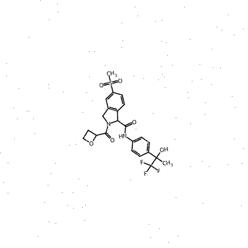 CC(O)(c1ccc(NC(=O)C2c3ccc(S(C)(=O)=O)cc3CN2C(=O)C2CCO2)cc1)C(F)(F)F